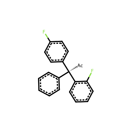 CC(=O)[C@](c1ccccc1)(c1ccc(F)cc1)c1ccccc1F